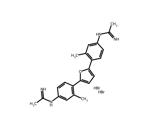 Br.Br.CC(=N)Nc1ccc(-c2ccc(-c3ccc(NC(C)=N)cc3C)o2)c(C)c1